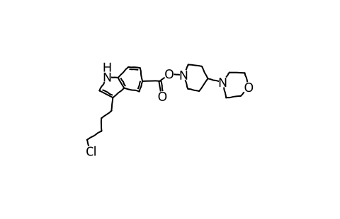 O=C(ON1CCC(N2CCOCC2)CC1)c1ccc2[nH]cc(CCCCCl)c2c1